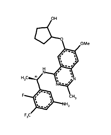 COc1cc2nc(C)nc(N[C@H](C)c3cc(N)cc(C(F)(F)F)c3F)c2cc1OC1CCCC1O